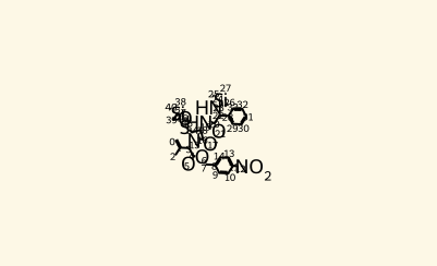 C=C(C)C(C(=O)OCc1ccc([N+](=O)[O-])cc1)N1C(=O)C(NC(=O)C(N[Si](C)(C)C)c2ccccc2)C1SO[Si](C)(C)C